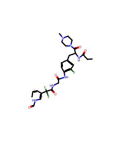 C/C=C\C(=C/NC=O)C(F)(F)C(=O)NCC(=O)Nc1ccc(CC(NC(=O)CC)C(=O)N2CCN(C)CC2)cc1F